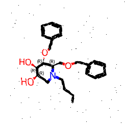 CCCCN1C[C@@H](O)[C@@H](O)[C@H](OCc2ccccc2)[C@H]1COCc1ccccc1